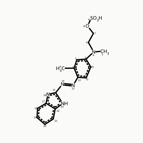 Cc1cc(N(C)CCOS(=O)(=O)O)ccc1/N=N/c1nc2ccccc2[nH]1